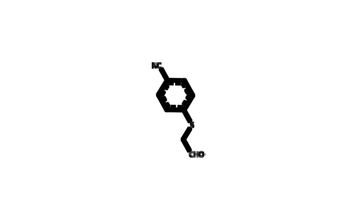 N#Cc1ccc(SC[C]=O)cc1